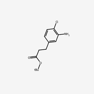 CC(C)(C)OC(=O)CCc1ccc(Cl)c(N)c1